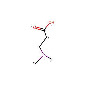 CP(C)CCC(=O)O